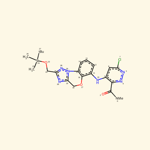 CNC(=O)c1nnc(Cl)cc1Nc1cccc2c1OCc1nc(CO[Si](C)(C)C(C)(C)C)nn1-2